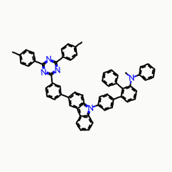 Cc1ccc(-c2nc(-c3ccc(C)cc3)nc(-c3cccc(-c4ccc5c(c4)c4ccccc4n5-c4ccc(-c5cccc(N(C)c6ccccc6)c5-c5ccccc5)cc4)c3)n2)cc1